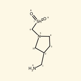 NCC1CCN(C[SH](=O)=O)C1